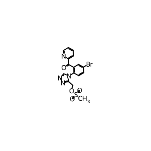 CS(=O)(=O)OCc1nncn1-c1ccc(Br)cc1C(=O)c1ccccn1